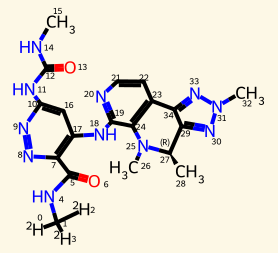 [2H]C([2H])([2H])NC(=O)c1nnc(NC(=O)NC)cc1Nc1nccc2c1N(C)[C@H](C)c1nn(C)nc1-2